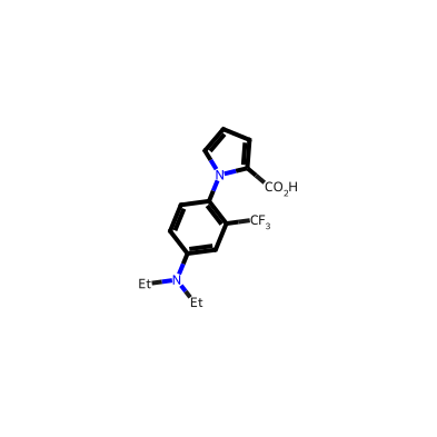 CCN(CC)c1ccc(-n2cccc2C(=O)O)c(C(F)(F)F)c1